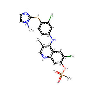 Cn1ccnc1Sc1ccc(Nc2c(C#N)cnc3cc(OS(=O)(=O)C(F)(F)F)c(F)cc23)cc1Cl